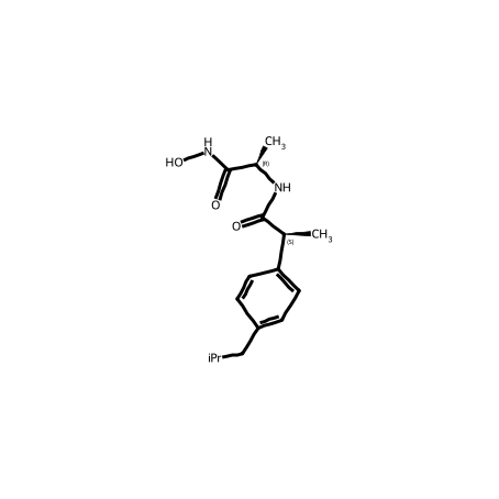 CC(C)Cc1ccc([C@H](C)C(=O)N[C@H](C)C(=O)NO)cc1